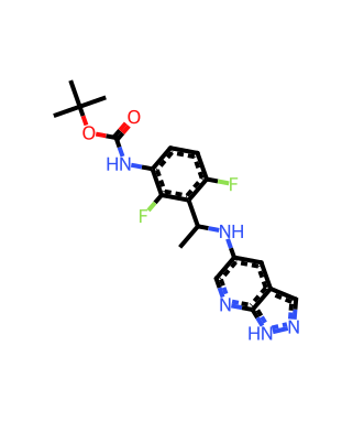 CC(Nc1cnc2[nH]ncc2c1)c1c(F)ccc(NC(=O)OC(C)(C)C)c1F